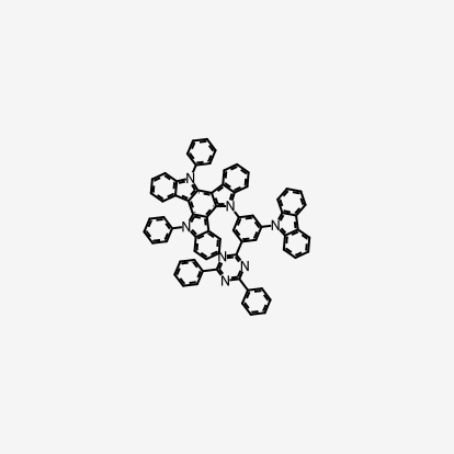 c1ccc(-c2nc(-c3ccccc3)nc(-c3cc(-n4c5ccccc5c5ccccc54)cc(-n4c5ccccc5c5c6c(c7ccccc7n6-c6ccccc6)c6c(c7ccccc7n6-c6ccccc6)c54)c3)n2)cc1